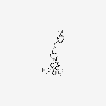 CC(C)(C)OC(=O)N1CCN(CCCc2cccc(O)c2)CC1